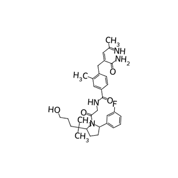 CC(=N)/C=C(/Cc1ccc(C(=O)NCC(=O)N2C(c3cccc(F)c3)CCC2C(C)(C)CCCO)cc1C)C(N)=O